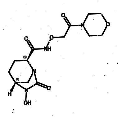 O=C(NOCC(=O)N1CCOCC1)[C@@H]1CC[C@@H]2CN1C(=O)N2O